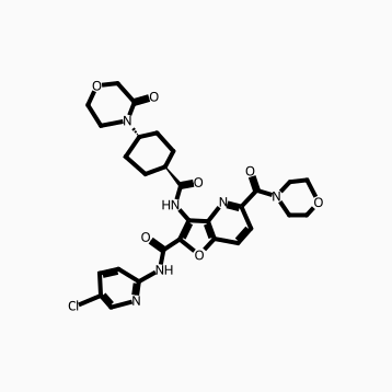 O=C(Nc1ccc(Cl)cn1)c1oc2ccc(C(=O)N3CCOCC3)nc2c1NC(=O)[C@H]1CC[C@H](N2CCOCC2=O)CC1